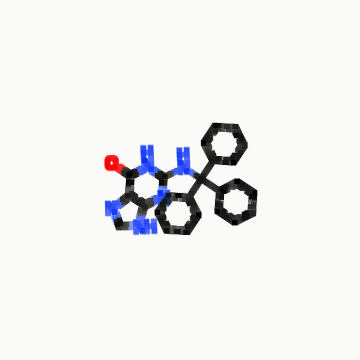 O=c1[nH]c(NC(c2ccccc2)(c2ccccc2)c2ccccc2)nc2[nH]cnc12